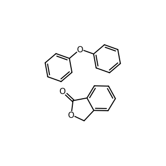 O=C1OCc2ccccc21.c1ccc(Oc2ccccc2)cc1